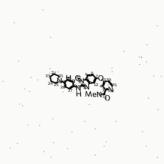 CNC(=O)c1cc(Oc2ccc3c(c2)nc(Nc2ccc(N4CCCCC4)cc2)n3C)ccn1